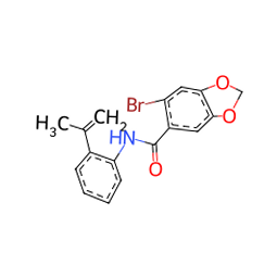 C=C(C)c1ccccc1NC(=O)c1cc2c(cc1Br)OCO2